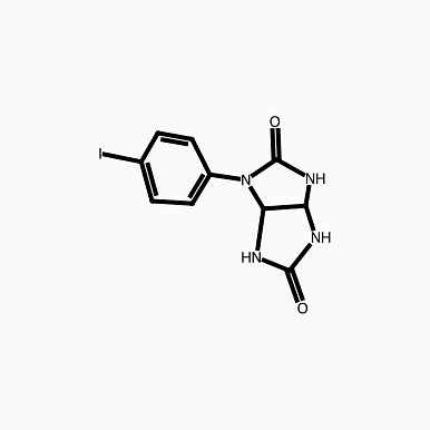 O=C1NC2NC(=O)N(c3ccc(I)cc3)C2N1